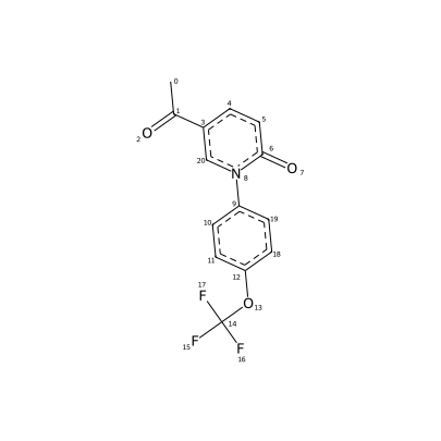 CC(=O)c1ccc(=O)n(-c2ccc(OC(F)(F)F)cc2)c1